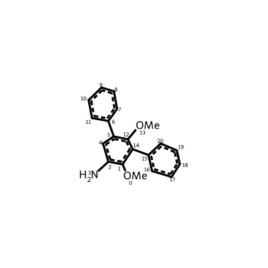 COc1c(N)cc(-c2ccccc2)c(OC)c1-c1ccccc1